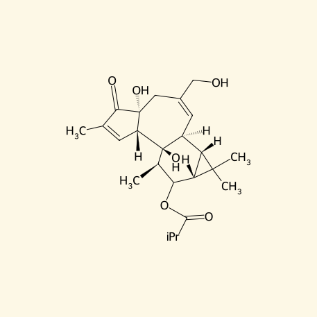 CC1=C[C@H]2[C@@]3(O)[C@H](C)C(OC(=O)C(C)C)[C@@H]4[C@H]([C@@H]3C=C(CO)C[C@]2(O)C1=O)C4(C)C